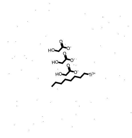 CCCCCCC[CH2][Ti+3].O=C([O-])CO.O=C([O-])CO.O=C([O-])CO